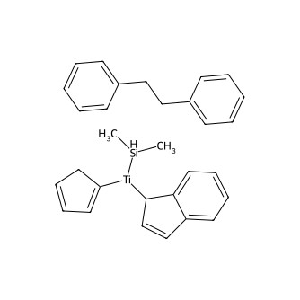 C[SiH](C)[Ti]([C]1=CC=CC1)[CH]1C=Cc2ccccc21.c1ccc(CCc2ccccc2)cc1